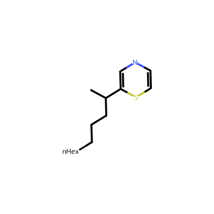 CCCCCCCCCC(C)C1=C[N]C=CS1